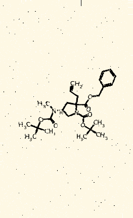 C=CCC1(C(=O)OCc2ccccc2)C[C@@H](N(C)C(=O)OC(C)(C)C)CN1C(=O)OC(C)(C)C